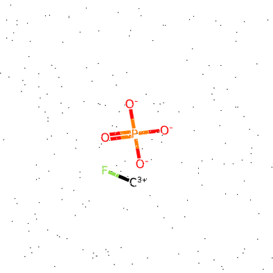 O=P([O-])([O-])[O-].[C+3]F